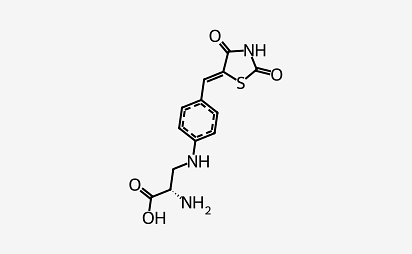 N[C@@H](CNc1ccc(/C=C2\SC(=O)NC2=O)cc1)C(=O)O